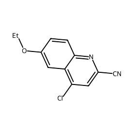 CCOc1ccc2nc(C#N)cc(Cl)c2c1